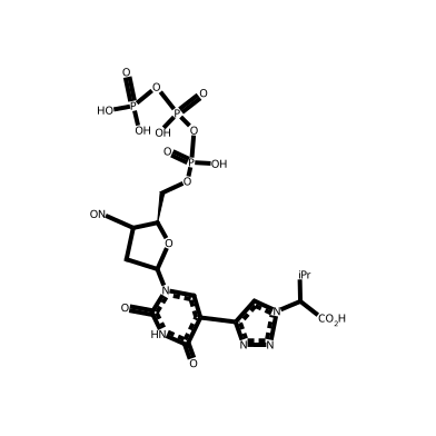 CC(C)C(C(=O)O)n1cc(-c2cn(C3CC(N=O)[C@@H](COP(=O)(O)OP(=O)(O)OP(=O)(O)O)O3)c(=O)[nH]c2=O)nn1